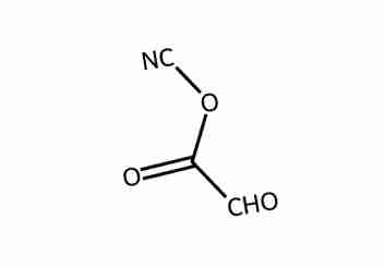 N#COC(=O)C=O